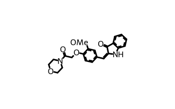 COc1cc(C=C2Nc3ccccc3C2=O)ccc1OCC(=O)N1CCOCC1